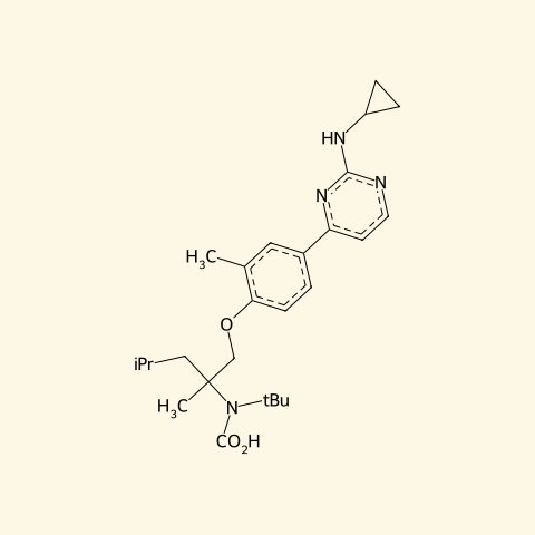 Cc1cc(-c2ccnc(NC3CC3)n2)ccc1OCC(C)(CC(C)C)N(C(=O)O)C(C)(C)C